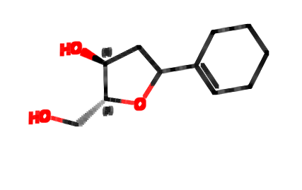 OC[C@H]1OC(C2=CCCCC2)C[C@@H]1O